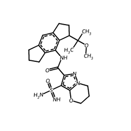 COC(C)(C)C1CCc2cc3c(c(NC(=O)c4nn5c(c4S(=N)(N)=O)OCCC5)c21)CCC3